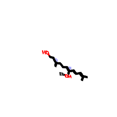 CC(C)=CCC/C(C)=C/CC/C(C)=C/CO.CCO